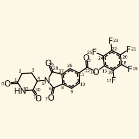 O=C1CCC(N2C(=O)c3ccc(C(=O)Oc4c(F)c(F)c(F)c(F)c4F)cc3C2=O)C(=O)N1